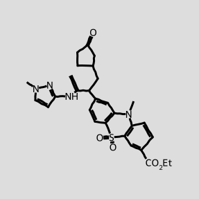 C=C(Nc1ccn(C)n1)C(CC1CCC(=O)C1)c1ccc2c(c1)N(C)c1ccc(C(=O)OCC)cc1S2(=O)=O